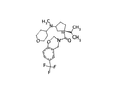 CC(C)[C@]1(C(=O)N2COc3ccc(C(F)(F)F)cc3C2)CCC(N(C)C2CCOCC2)C1